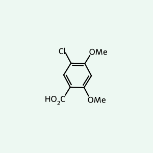 COc1cc(OC)c(C(=O)O)cc1Cl